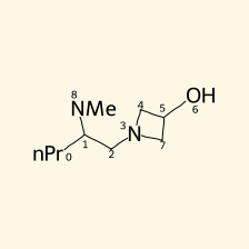 CCCC(CN1CC(O)C1)NC